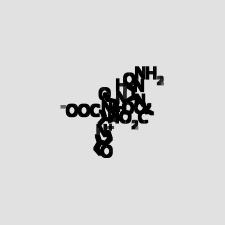 CC(C)(O/N=C(\C(=O)NC1C(=O)N2C(C(=O)[O-])=C(C[n+]3ccc4occc4c3)CS[C@H]12)c1coc(N)n1)C(=O)O